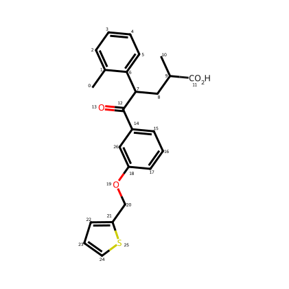 Cc1ccccc1C(CC(C)C(=O)O)C(=O)c1cccc(OCc2cccs2)c1